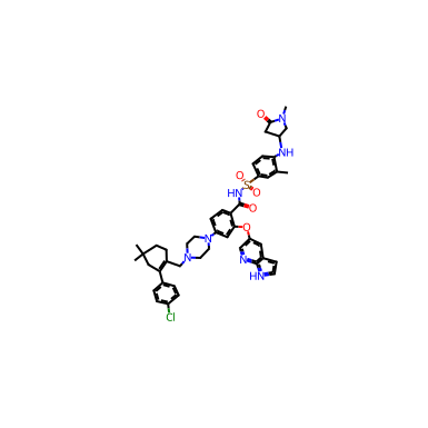 Cc1cc(S(=O)(=O)NC(=O)c2ccc(N3CCN(CC4=C(c5ccc(Cl)cc5)CC(C)(C)CC4)CC3)cc2Oc2cnc3[nH]ccc3c2)ccc1NC1CC(=O)N(C)C1